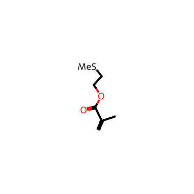 C=C(C)C(=O)OCCSC